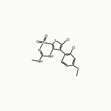 CNC1=NS(=O)(=O)c2sc(Cl)c(-c3ccc(SC)cc3Cl)c2N1